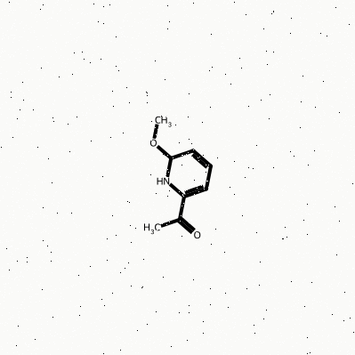 COC1C=CC=C(C(C)=O)N1